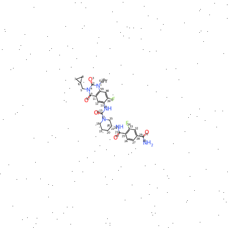 CC(C)n1c(=O)n(CC2CC2)c(=O)c2cc(NC(=O)N3CCC[C@@H](NC(=O)c4ccc(C(N)=O)cc4F)C3)c(F)cc21